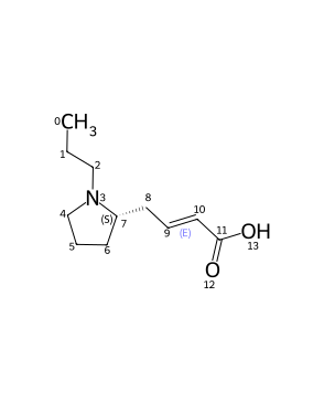 CCCN1CCC[C@H]1C/C=C/C(=O)O